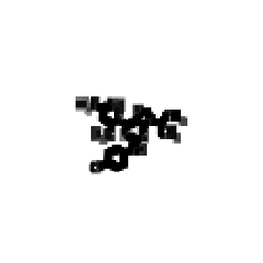 CC(=N)/C=C(/C)Nc1nc(Nc2ccc(Cl)cc2)nc2c1ncn2C(C)C